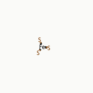 [S]=[Fe](=[S])=[S]